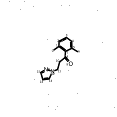 Cc1cccc(C)c1C(=O)CCn1cccn1